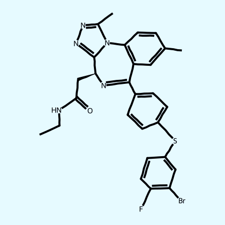 CCNC(=O)C[C@@H]1N=C(c2ccc(Sc3ccc(F)c(Br)c3)cc2)c2cc(C)ccc2-n2c(C)nnc21